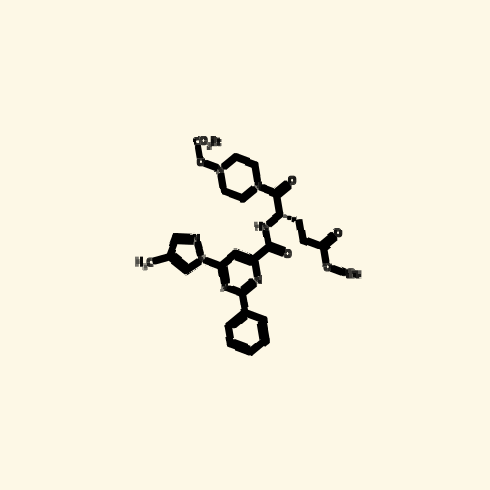 CCOC(=O)ON1CCN(C(=O)[C@H](CCC(=O)OC(C)(C)C)NC(=O)c2cc(-n3cc(C)cn3)nc(-c3ccccc3)n2)CC1